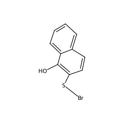 Oc1c(SBr)ccc2ccccc12